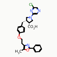 Cc1oc(-c2ccccc2)nc1CCOc1ccc(C[C@@H]2CN(c3cncc(Cl)n3)C[C@@H]2C(=O)O)cc1